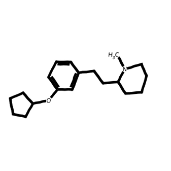 CN1CCCCC1CCc1cccc(OC2CCCC2)c1